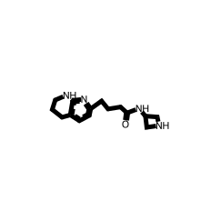 O=C(CCCc1ccc2c(n1)NCCC2)NC1CNC1